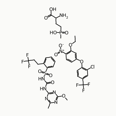 CCOc1cc(Oc2ccc(C(F)(F)F)cc2Cl)ccc1[N+](=O)[O-].COc1nc(C)nc(NC(=O)NS(=O)(=O)c2ccccc2CCC(F)(F)F)n1.CP(=O)(O)CCC(N)C(=O)O